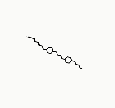 CCCCCC1CCC(CCCCC2CCC(CCC=CC=CC#N)CC2)CC1